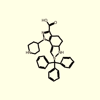 O=C(O)c1nn(C2CCNCC2)c2c1CCC1NN(C(c3ccccc3)(c3ccccc3)c3ccccc3)C=C21